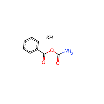 NC(=O)OC(=O)c1ccccc1.[KH]